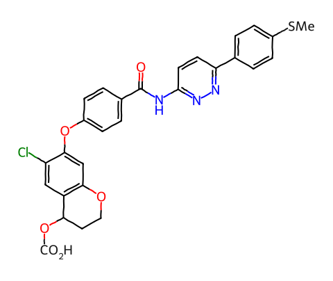 CSc1ccc(-c2ccc(NC(=O)c3ccc(Oc4cc5c(cc4Cl)C(OC(=O)O)CCO5)cc3)nn2)cc1